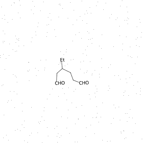 CCC(CC=O)CCC=O